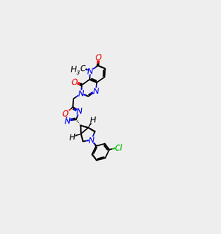 Cn1c(=O)ccc2ncn(Cc3nc([C@@H]4[C@@H]5CN(c6cccc(Cl)c6)C[C@@H]54)no3)c(=O)c21